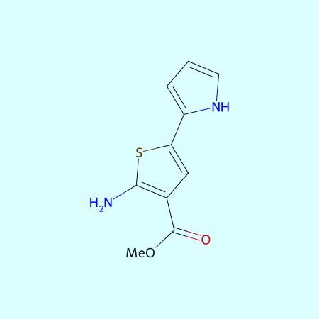 COC(=O)c1cc(-c2ccc[nH]2)sc1N